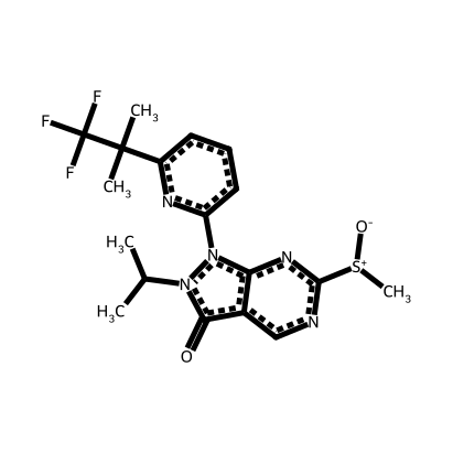 CC(C)n1c(=O)c2cnc([S+](C)[O-])nc2n1-c1cccc(C(C)(C)C(F)(F)F)n1